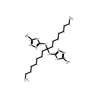 CCCCCCCCC(CCCCCCCC)(Sc1nnc(S)s1)Sc1nnc(S)s1